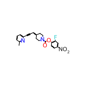 Cc1cccc(C#CC=C2CCN(C(=O)Oc3ccc([N+](=O)[O-])cc3F)CC2)n1